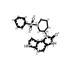 O=c1[nH]c2cnc3[nH]ccc3c2n1[C@@H]1CCCN(S(=O)(=O)c2ccccc2)C1